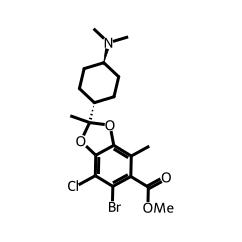 COC(=O)c1c(C)c2c(c(Cl)c1Br)OC(C)([C@H]1CC[C@H](N(C)C)CC1)O2